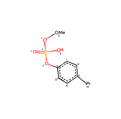 COOP(=O)(O)Oc1ccc(C(C)C)cc1